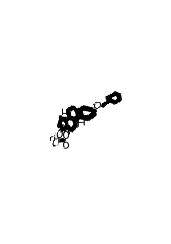 C[C@]12CC[C@@H]3c4ccc(OCc5ccccc5)cc4CC[C@H]3[C@@H]1CC[C@@]2(O)OC(=O)Cl